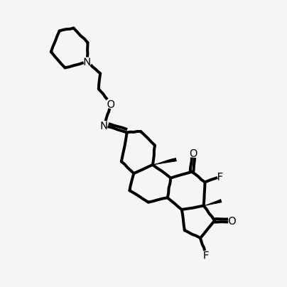 C[C@]12CCC(=NOCCN3CCCCC3)CC1CCC1C2C(=O)C(F)[C@]2(C)C(=O)C(F)CC12